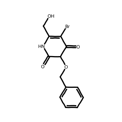 O=C1NC(CO)=C(Br)C(=O)C1OCc1ccccc1